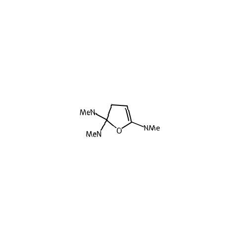 CNC1=CCC(NC)(NC)O1